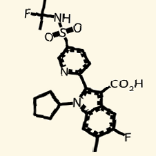 Cc1cc2c(cc1F)c(C(=O)O)c(-c1ccc(S(=O)(=O)NC(C)(C)F)cn1)n2C1CCCC1